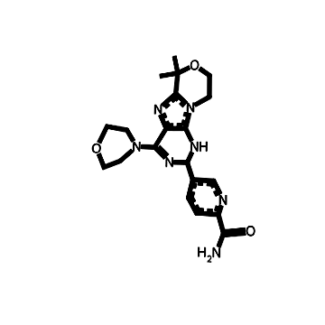 CC1(C)OCCn2c1nc1c2NC(c2ccc(C(N)=O)nc2)N=C1N1CCOCC1